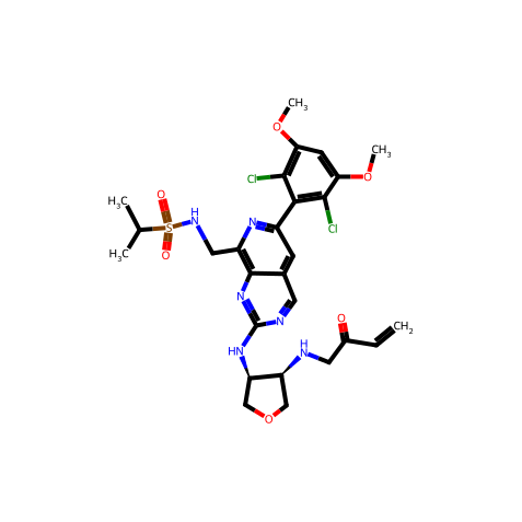 C=CC(=O)CN[C@H]1COC[C@H]1Nc1ncc2cc(-c3c(Cl)c(OC)cc(OC)c3Cl)nc(CNS(=O)(=O)C(C)C)c2n1